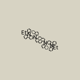 CCc1ccccc1-n1c2ccccc2c2ccc(N(c3cccc4c3CCCC4)c3ccc4ccc5c(N(c6ccc7c8ccccc8n(-c8ccccc8CC)c7c6)c6cccc7c6CCCC7)ccc6ccc3c4c65)cc21